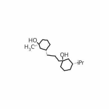 CC(C)[C@@H]1CCC[C@](O)(CCC[C@H]2CCC[C@](C)(O)C2)C1